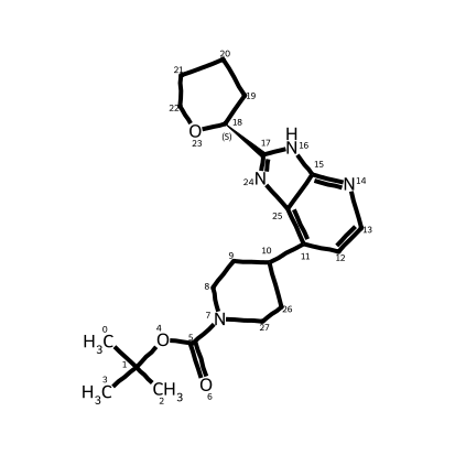 CC(C)(C)OC(=O)N1CCC(c2ccnc3[nH]c([C@@H]4CCCCO4)nc23)CC1